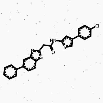 O=C(Cc1nc2cc(-c3ccccc3)ccc2s1)Nc1cc(-c2ccc(Cl)cc2)cs1